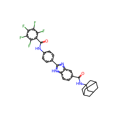 O=C(NC12CC3CC(CC(C3)C1)C2)c1ccc2[nH]c(-c3ccc(NC(=O)c4c(F)c(F)c(F)c(F)c4F)cc3)nc2c1